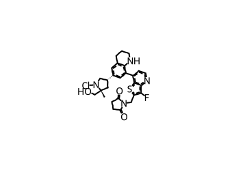 C[C@]1(CO)C[C@@H](c2cc3c(c(-c4ccnc5c(F)c(CN6C(=O)CCC6=O)sc45)c2)NCCC3)CN1Cl